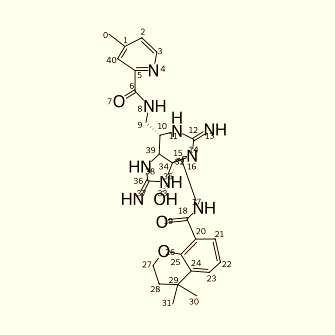 Cc1ccnc(C(=O)NC[C@@H]2NC(=N)N3CC(NC(=O)c4cccc5c4OCCC5(C)C)[C@@H](O)C34NC(=N)NC24)c1